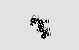 CN(C)c1ccc(O)c2c1CN1CN2Cc2cc(O)c3c(c21)N1Cc2c(N(C)C)cc(C4C(=O)Nc5ccccc54)c(O)c2N(C3)C1